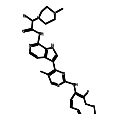 C=C/C=C\C(Nc1ncc(C)c(-c2c[nH]c3c(NC(=O)C(CC)N4CCN(C)CC4)nccc23)n1)=C(\F)CSCC